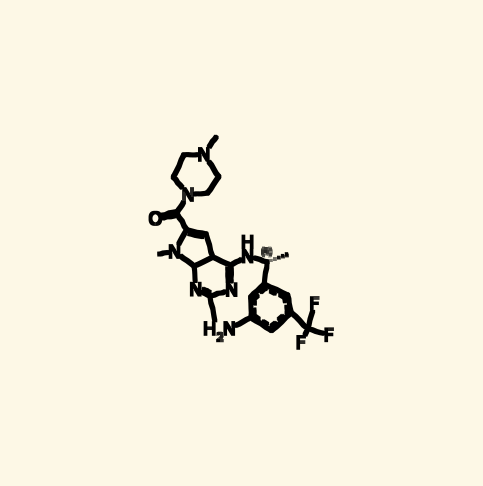 CC1=NC2C(C=C(C(=O)N3CCN(C)CC3)N2C)C(N[C@H](C)c2cc(N)cc(C(F)(F)F)c2)=N1